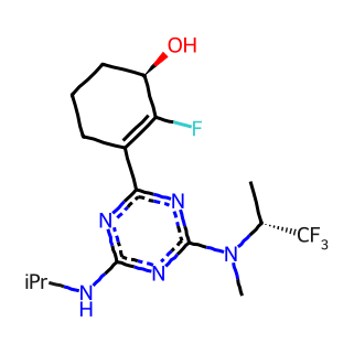 CC(C)Nc1nc(C2=C(F)[C@H](O)CCC2)nc(N(C)[C@H](C)C(F)(F)F)n1